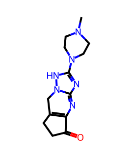 CN1CCN(C2=NC3=NC4=C(CCC4=O)CN3N2)CC1